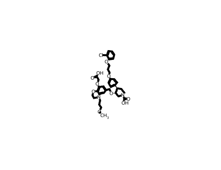 COCCCN1CCOc2c(OCC(=O)O)cc(CO[C@H]3CN(C(=O)O)CC[C@@H]3c3ccc(OCCCOc4ccccc4Cl)cc3)cc21